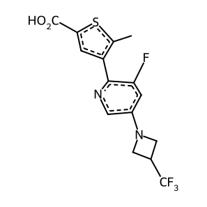 Cc1sc(C(=O)O)cc1-c1ncc(N2CC(C(F)(F)F)C2)cc1F